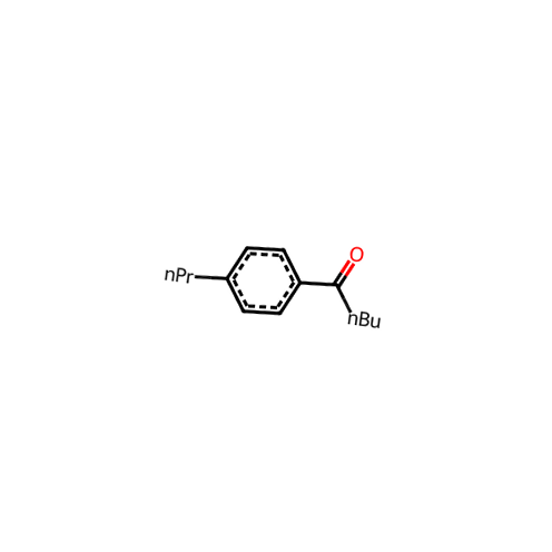 CCCCC(=O)c1ccc(CCC)cc1